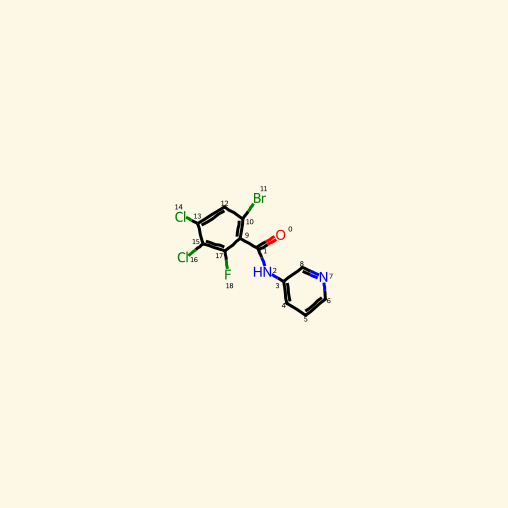 O=C(Nc1cccnc1)c1c(Br)cc(Cl)c(Cl)c1F